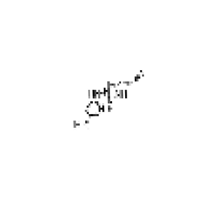 Cc1ccc(NN2N=C(C=CC#N)NN2)nc1